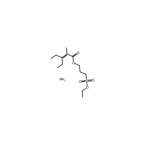 CCOS(=O)(=O)CCCOC(=O)C(C)=C(CC)CC.N